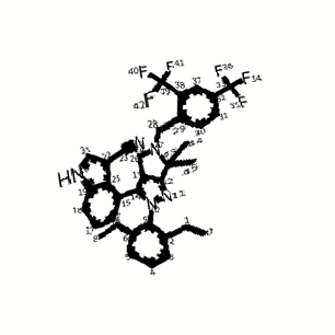 CCc1cccc(CC)c1-n1nc2c(c1-c1cccc3[nH]cc(C#N)c13)CN(Cc1ccc(C(F)(F)F)cc1C(F)(F)F)C2(C)C